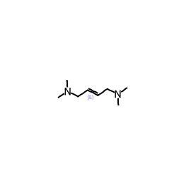 CN(C)C/C=C/CN(C)C